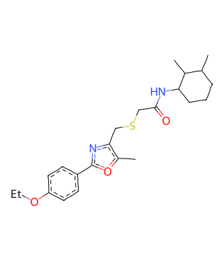 CCOc1ccc(-c2nc(CSCC(=O)NC3CCCC(C)C3C)c(C)o2)cc1